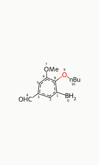 Bc1cc(C=O)cc(OC)c1OCCCC